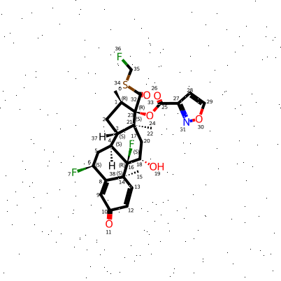 C[C@@H]1C[C@H]2[C@@H]3C[C@H](F)C4=CC(=O)C=C[C@]4(C)[C@@]3(F)[C@@H](O)C[C@]2(C)[C@@]1(OC(=O)c1ccon1)C(=O)SCF